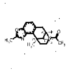 Cc1nc2c3c(ccc2o1)C[C@@H]1C(C)[C@@]3(C)CCN1C(=O)C(F)(F)F